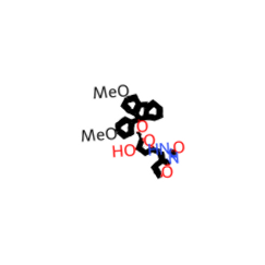 COc1ccc(C(OC[C@H]2OC(c3[nH]c(=O)nc4occc34)C[C@H]2O)(c2ccccc2)c2ccc(OC)cc2C)cc1